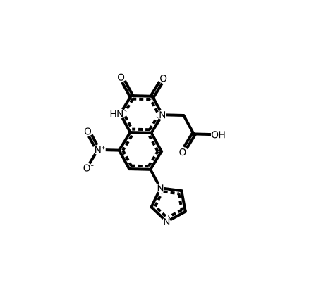 O=C(O)Cn1c(=O)c(=O)[nH]c2c([N+](=O)[O-])cc(-n3ccnc3)cc21